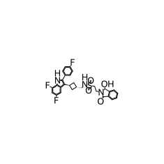 O=C1c2ccccc2C(O)N1CCS(=O)(=O)NC[C@H]1C[C@H](c2c(-c3ccc(F)cc3)[nH]c3c(F)cc(F)cc32)C1